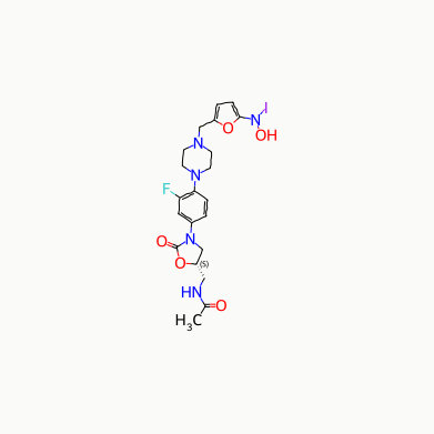 CC(=O)NC[C@H]1CN(c2ccc(N3CCN(Cc4ccc(N(O)I)o4)CC3)c(F)c2)C(=O)O1